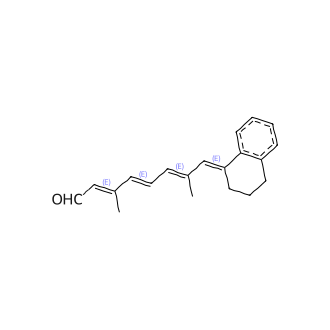 CC(/C=C/C=C(C)/C=C1\CCCc2ccccc21)=C\C=O